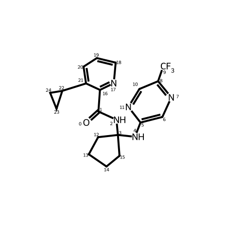 O=C(NC1(Nc2cnc(C(F)(F)F)cn2)CCCC1)c1ncccc1C1CC1